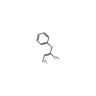 CC=C(C)Oc1ccccc1